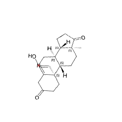 C[C@]12CC[C@H]3[C@@H](CC=C4CC(=O)CC[C@@]43C=NO)[C@@H]1CCC2=O